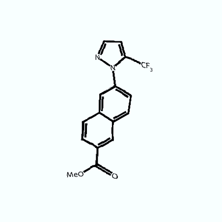 COC(=O)c1ccc2cc(-n3nccc3C(F)(F)F)ccc2c1